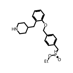 CCO[PH](=O)Cc1ccc(COc2ccccc2CC2CCNCC2)cc1